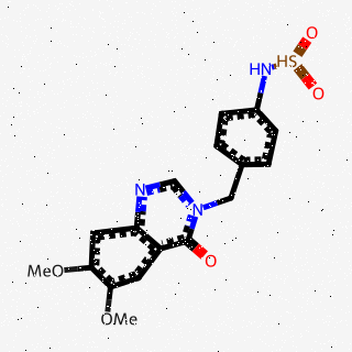 COc1cc2ncn(Cc3ccc(N[SH](=O)=O)cc3)c(=O)c2cc1OC